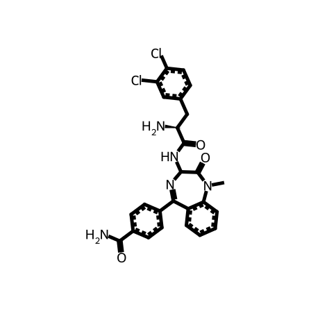 CN1C(=O)C(NC(=O)[C@@H](N)Cc2ccc(Cl)c(Cl)c2)N=C(c2ccc(C(N)=O)cc2)c2ccccc21